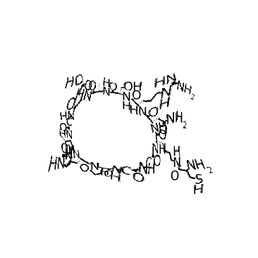 C[C@@H]1NC(=O)[C@H](CO)NC(=O)[C@H](CCCNC(=N)N)NC(=O)[C@H](CC(N)=O)NC(=O)[C@H](CCCCNC(=O)[C@@H](N)CS)NC(=O)CNC(=O)CNC(=O)[C@@H]2CCCN2C(=O)[C@H](Cc2c[nH]cn2)NC(=O)[C@H]([C@H](C)O)NC(=O)CNC(=O)[C@H](CC(=O)O)NC1=O